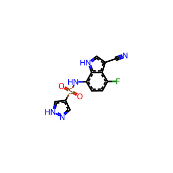 N#Cc1c[nH]c2c(NS(=O)(=O)c3cn[nH]c3)ccc(F)c12